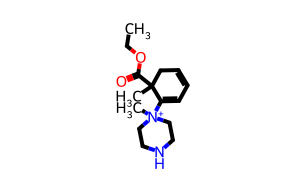 CCOC(=O)C1(C)CC=CC=C1[N+]1(C)CCNCC1